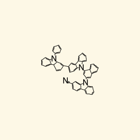 N#Cc1ccc2c3ccccc3n(-c3cc(-n4c5ccccc5c5cc(C6=CC7C(C=C6)c6ccccc6N7c6ccccc6)ccc54)c4ccccc4c3)c2c1